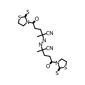 CC(C#N)(CCC(=O)N1CCSC1=S)/N=N/C(C)(C#N)CCC(=O)N1CCSC1=S